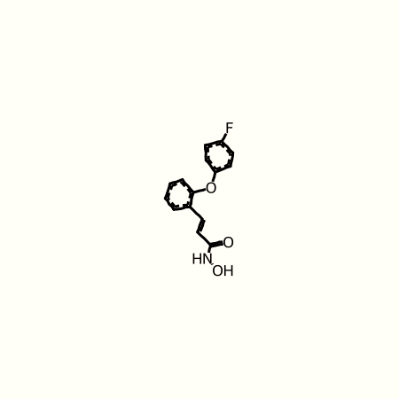 O=C(C=Cc1ccccc1Oc1ccc(F)cc1)NO